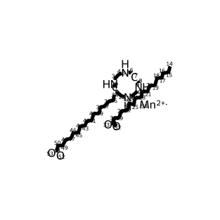 C1CNCCNCCCNCCNC1.CCCCCCCCCCCCCCCCCC(=O)[O-].CCCCCCCCCCCCCCCCCC(=O)[O-].[Mn+2]